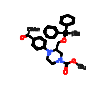 COC(=O)c1ccc(N2CCN(C(=O)OC(C)(C)C)CC2CO[Si](c2ccccc2)(c2ccccc2)C(C)(C)C)cc1